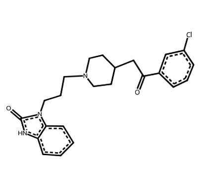 O=C(CC1CCN(CCCn2c(=O)[nH]c3ccccc32)CC1)c1cccc(Cl)c1